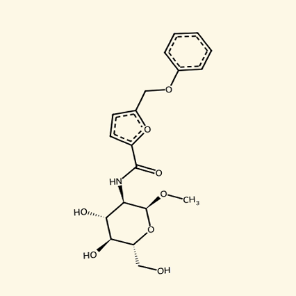 CO[C@H]1O[C@H](CO)[C@@H](O)[C@H](O)[C@H]1NC(=O)c1ccc(COc2ccccc2)o1